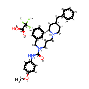 COc1ccc(NC(=O)N(CCCN2CCC(Cc3ccccc3)CC2)Cc2ccccc2)cc1.O=C(O)C(F)(F)F